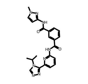 CC(C)n1cnnc1-c1cccc(NC(=O)c2cccc(C(=O)Nc3ccn(C)n3)c2)n1